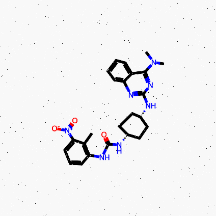 Cc1c(NC(=O)N[C@H]2CC[C@@H](Nc3nc(N(C)C)c4ccccc4n3)CC2)cccc1[N+](=O)[O-]